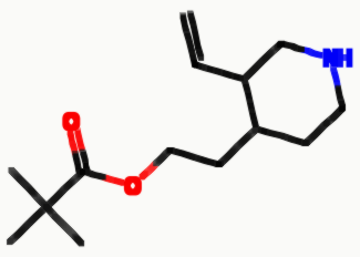 C=CC1CNCCC1CCOC(=O)C(C)(C)C